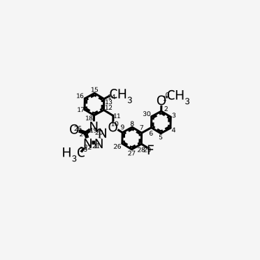 COc1cccc(-c2cc(OCc3c(C)cccc3-n3nnn(C)c3=O)ccc2F)c1